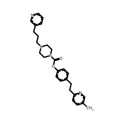 Cc1ccc(CCc2ccc(OC(=O)N3CCN(CCCc4cccnc4)CC3)cc2)nc1